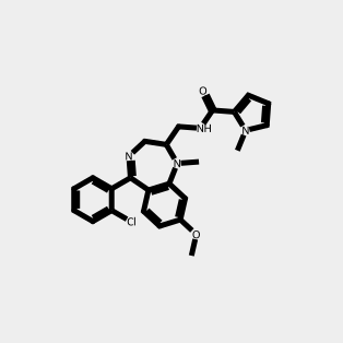 COc1ccc2c(c1)N(C)C(CNC(=O)c1cccn1C)CN=C2c1ccccc1Cl